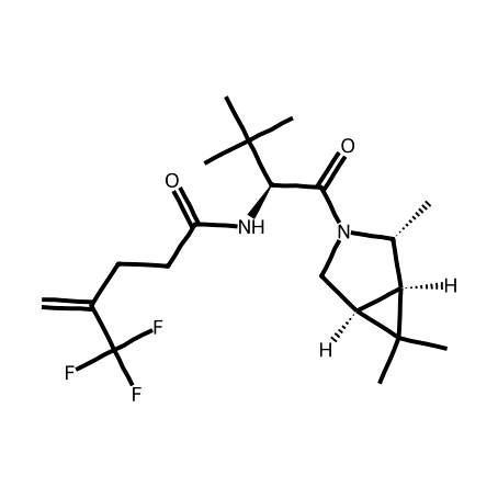 C=C(CCC(=O)N[C@H](C(=O)N1C[C@H]2[C@@H]([C@H]1C)C2(C)C)C(C)(C)C)C(F)(F)F